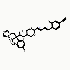 CC(C)C(Cn1cncn1)(c1ccc(F)cc1F)C(C)CC1COC(/C=C/C=C/c2ccc(C#N)cc2F)OC1